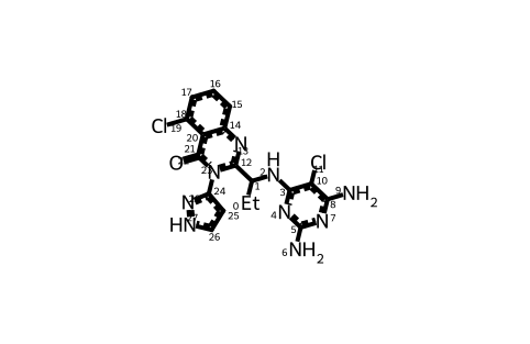 CCC(Nc1nc(N)nc(N)c1Cl)c1nc2cccc(Cl)c2c(=O)n1-c1cc[nH]n1